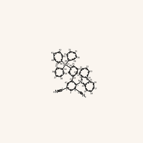 N#Cc1cc(C#N)c(-n2c3ccccc3c3ccccc32)c(-c2cccc([Si](c3ccccc3)(c3ccccc3)c3ccccc3)c2)c1